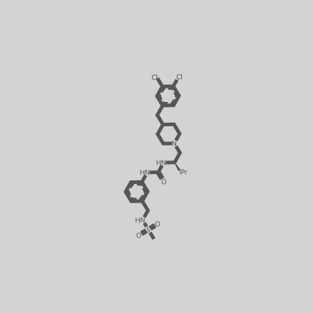 CC(C)[C@H](CN1CCC(Cc2ccc(Cl)c(Cl)c2)CC1)NC(=O)Nc1cccc(CNS(C)(=O)=O)c1